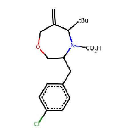 C=C1COCC(Cc2ccc(Cl)cc2)N(C(=O)O)C1C(C)(C)C